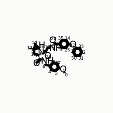 COc1ccc(CNC(=O)[C@@H]2C[C@]3(C)C[C@@H]3N2C(=O)CNC(=O)c2ccc(Oc3ccccc3)cc2)cc1